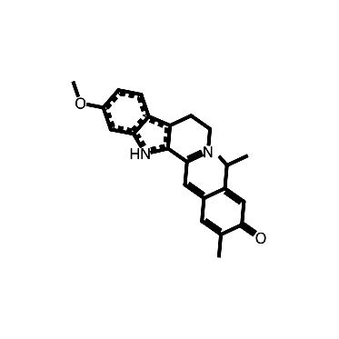 COc1ccc2c3c([nH]c2c1)C(/C=C1/C=C(C)C(=O)C=C1C(C)C)=NCC3